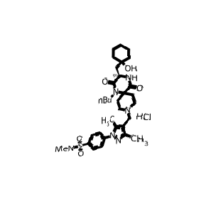 CCCCN1C(=O)[C@@H](CC2(O)CCCCC2)NC(=O)C12CCN(Cc1c(C)nn(-c3ccc(S(=O)(=O)NC)cc3)c1C)CC2.Cl